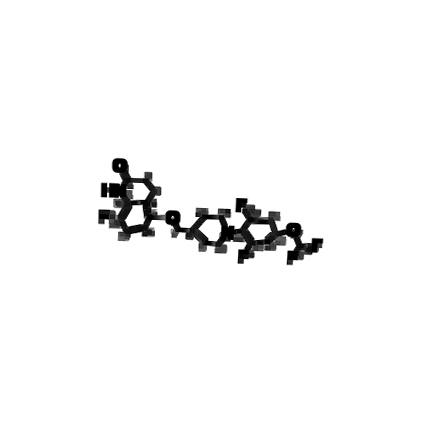 O=C1CCc2c(OCC3=CCN(c4c(F)cc(OC(F)F)cc4F)CC3)ccc(F)c2N1